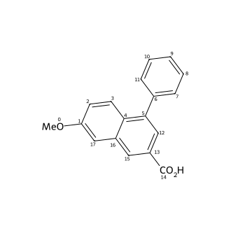 COc1ccc2c(-c3ccccc3)cc(C(=O)O)cc2c1